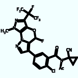 CC(=O)N(C(=O)c1cc(-c2cnn3c2C(F)Oc2c(C(F)(C(F)(F)F)C(F)(F)F)nn(C)c2-3)ccc1Cl)C1(C#N)CC1